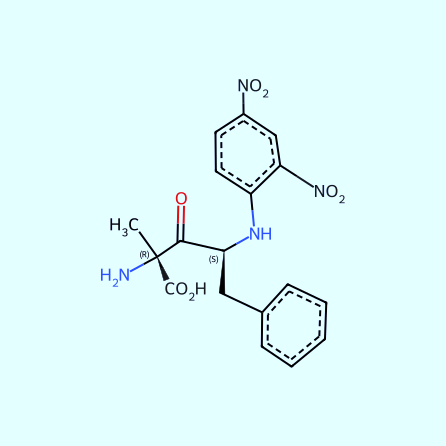 C[C@](N)(C(=O)O)C(=O)[C@H](Cc1ccccc1)Nc1ccc([N+](=O)[O-])cc1[N+](=O)[O-]